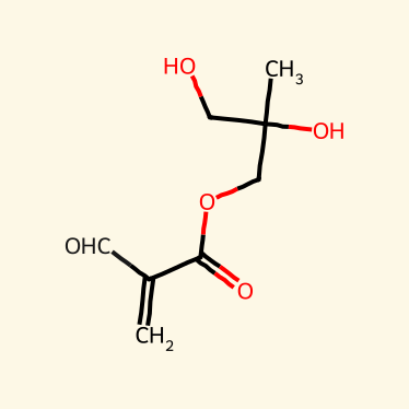 C=C(C=O)C(=O)OCC(C)(O)CO